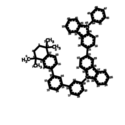 CC1(C)CCC(C)(C)c2cc(-c3cccc(-c4cccc(-n5c6ccccc6c6cc(-c7ccc8c(c7)c7ccccc7n8-c7ccccc7)ccc65)c4)c3)ccc21